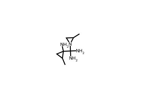 CC1CN1C(N)(N)C1(N)CC1C